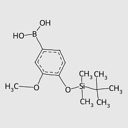 COc1cc(B(O)O)ccc1O[Si](C)(C)C(C)(C)C